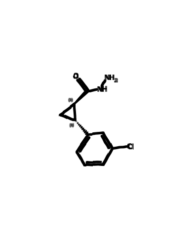 NNC(=O)[C@@H]1C[C@H]1c1cccc(Cl)c1